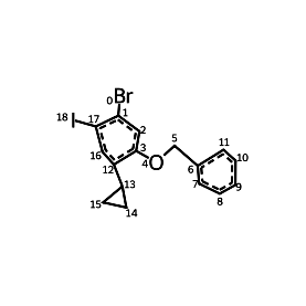 Brc1cc(OCc2ccccc2)c(C2CC2)cc1I